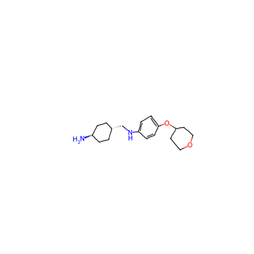 N[C@H]1CC[C@H](CNc2ccc(OC3CCOCC3)cc2)CC1